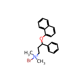 C[N+](C)(Br)CCC(Oc1cccc2ccccc12)c1ccccc1